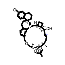 CC(C)C[C@@H]1[C@@H](C)C/C=C/[C@H](O)[C@@H]2CC[C@H]2CN2C[C@@]3(CCCc4cc(Cl)ccc43)CCc3ccc(cc32)COCNS1(=O)=O